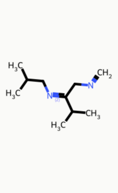 C=NC/C(=N\CC(C)C)C(C)C